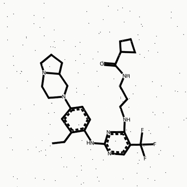 CCc1cc(N2CCN3CCCC3C2)ccc1Nc1ncc(C(F)(F)F)c(NCCCNC(=O)C2CCC2)n1